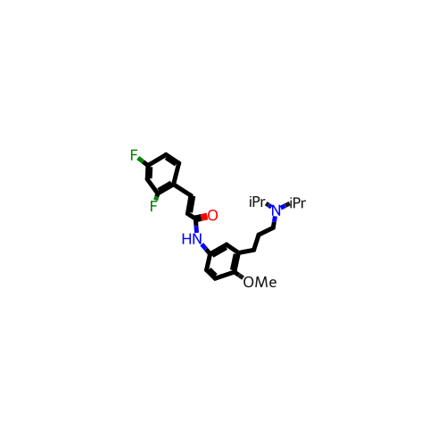 COc1ccc(NC(=O)C=Cc2ccc(F)cc2F)cc1CCCN(C(C)C)C(C)C